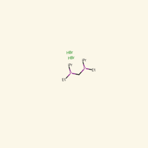 Br.Br.CCP(CP(CC)C(C)C)C(C)C